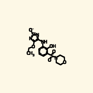 CCOc1n[s+]([O-])nc1Nc1cccc(S(=O)(=O)N2CCOCC2)c1O